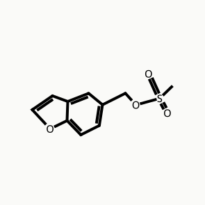 CS(=O)(=O)OCc1ccc2occc2c1